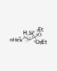 CCCCCC/C=C/C([SiH3])(OCC)OCC